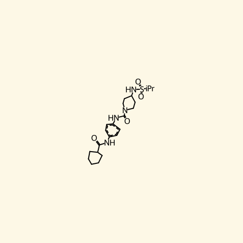 CC(C)S(=O)(=O)NC1CCN(C(=O)Nc2ccc(NC(=O)C3CCCCC3)cc2)CC1